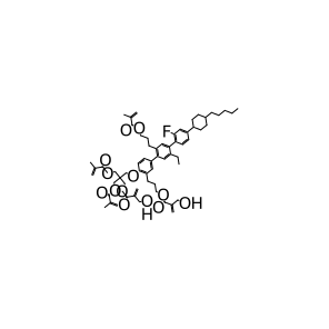 C=C(C)C(=O)OCCCc1cc(-c2ccc(C3CCC(CCCCC)CC3)cc2F)c(CC)cc1-c1ccc(OCC(COC(=O)C(=C)C)(COC(=O)C(=C)C)COC(=O)C(=C)CO)c(CCCOC(=O)C(=C)CO)c1